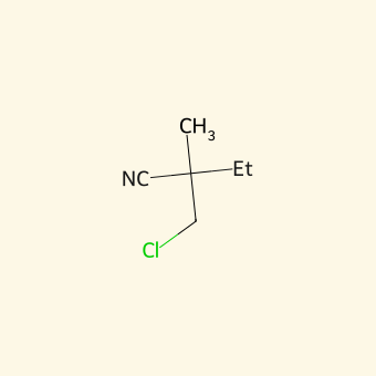 CCC(C)(C#N)CCl